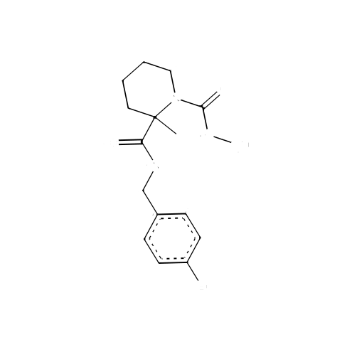 CCc1ccc(CNC(=O)C2(C)CCCCN2C(=O)OC(C)(C)C)cc1